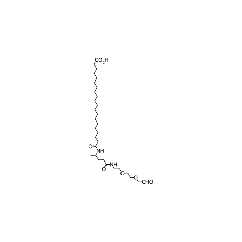 CC(CCC(=O)NCCOCCOCC=O)NC(=O)CCCCCCCCCCCCCCCCCCC(=O)O